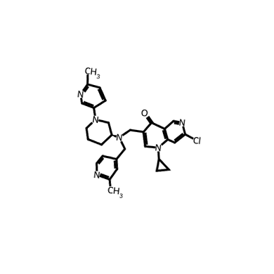 Cc1ccc(N2CCC[C@H](N(Cc3ccnc(C)c3)Cc3cn(C4CC4)c4cc(Cl)ncc4c3=O)C2)cn1